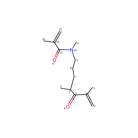 C=C(C)C(=O)C(C)CCCN(C)C(=O)C(=C)C